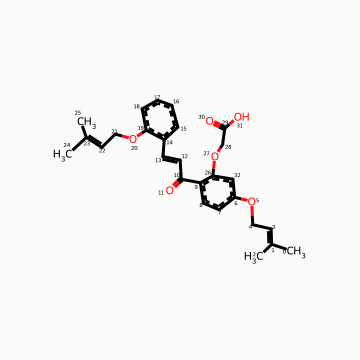 CC(C)=CCOc1ccc(C(=O)/C=C/c2ccccc2OCC=C(C)C)c(OCC(=O)O)c1